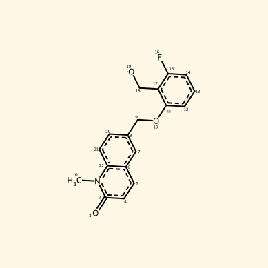 Cn1c(=O)ccc2cc(COc3cccc(F)c3C[O])ccc21